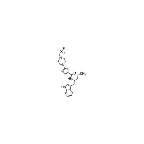 CCCC(Cc1c[nH]c2ccccc12)NC(=O)c1cnc(N2CCN(CC(F)(F)F)CC2)o1